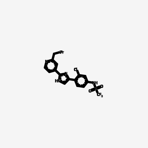 CC(C)Cc1cc(-c2nc(-c3ccc(NS(=O)(=O)C(F)(F)F)cc3Cl)c[nH]2)ccn1